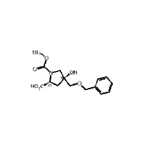 CC(C)(C)OC(=O)N1C[C@](O)(COCc2ccccc2)C[C@H]1C(=O)O